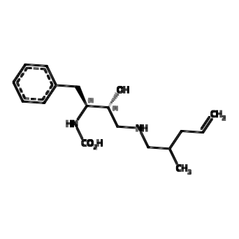 C=CCC(C)CNC[C@@H](O)[C@H](Cc1ccccc1)NC(=O)O